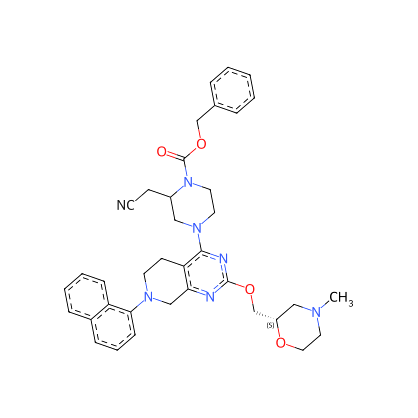 CN1CCO[C@H](COc2nc3c(c(N4CCN(C(=O)OCc5ccccc5)C(CC#N)C4)n2)CCN(c2cccc4ccccc24)C3)C1